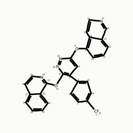 FC(F)(F)c1ccc(-c2cc(Oc3cccc4cnccc34)nnc2Oc2nccc3ccccc23)cc1